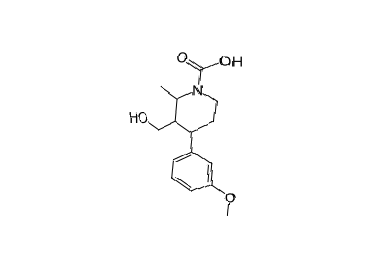 COc1cccc(C2CCN(C(=O)O)C(C)C2CO)c1